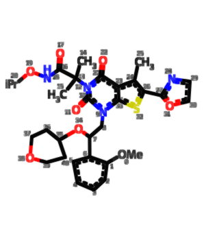 COc1ccccc1C(Cn1c(=O)n(C(C)(C)C(=O)NOC(C)C)c(=O)c2c(C)c(-c3ncco3)sc21)OC1CCOCC1